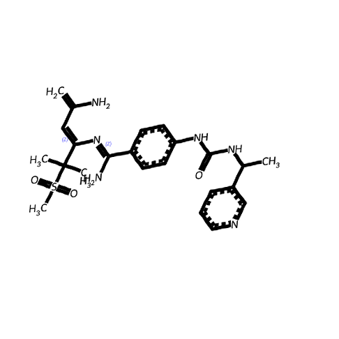 C=C(N)/C=C(\N=C(/N)c1ccc(NC(=O)NC(C)c2cccnc2)cc1)C(C)(C)S(C)(=O)=O